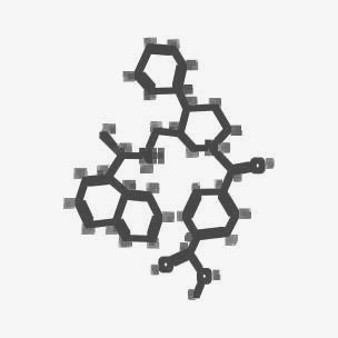 COC(=O)c1ccc(C(=O)N2CCC(c3ccccc3)C(CN[C@H](C)c3cccc4ccccc34)C2)cc1